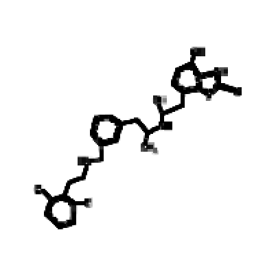 CC(Cc1cccc(CNCCc2c(Cl)cccc2Cl)c1)NC(O)Cc1ccc(O)c2[nH]c(=O)sc12